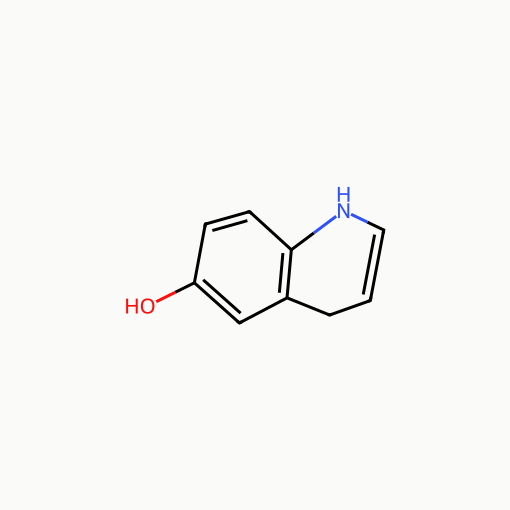 Oc1ccc2c(c1)CC=CN2